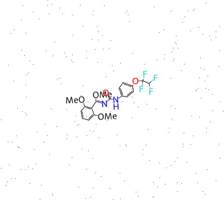 CO/C(=N\C(=O)Nc1ccc(OC(F)(F)C(F)F)cc1)c1c(OC)cccc1OC